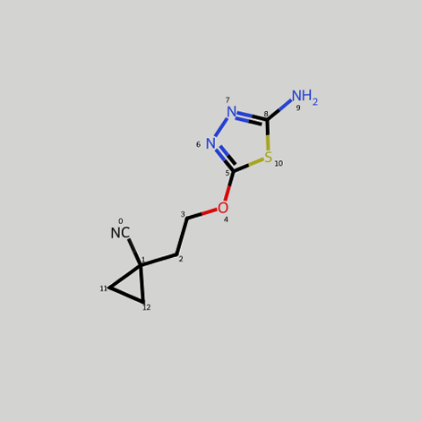 N#CC1(CCOc2nnc(N)s2)CC1